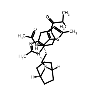 CC(=O)N[C@@H](CCN1[C@@H]2CC[C@H]1C[C@@H](n1c(C)nc3c1CCN(C(=O)C(C)C)C3)C2)c1ccc(C)s1